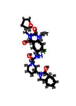 CC(C)n1c(=O)n(C[C@@H]2CCCO2)c(=O)c2cc(NC(=O)N3CCC[C@@H](N4Cc5ccccc5C4=O)C3)c(F)cc21